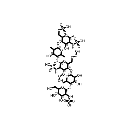 CC1O[C@@H](O[C@@H]2C(COOO)O[C@@H](O[C@H]3C(C)O[C@@H](O[C@@H]4C(COS(=O)(=O)O)O[C@@H](C)C(NS(=O)(=O)O)[C@H]4O)C(C)[C@@H]3O)C(NS(=O)(=O)O)[C@H]2OOO)C(O)[C@@H](O)[C@@H]1O[C@@H]1OC(CO)[C@@H](O)[C@H](O)C1NS(=O)(=O)O